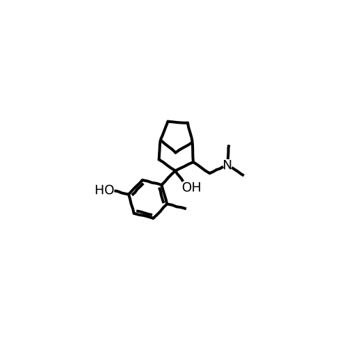 Cc1ccc(O)cc1C1(O)CC2CCC(C2)C1CN(C)C